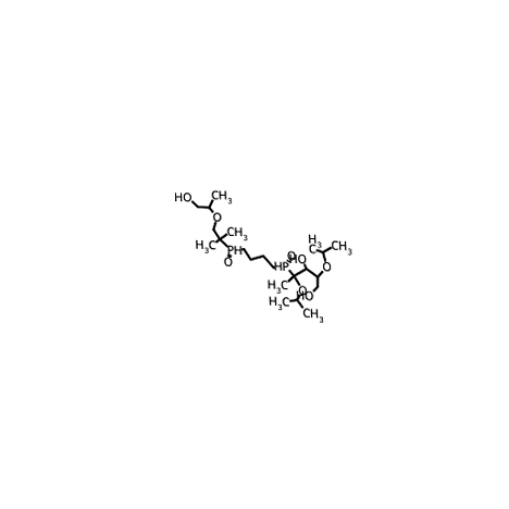 CC(C)OC(CO)C(O)C(C)(OC(C)C)[PH](=O)CCCC[PH](=O)C(C)(C)COC(C)CO